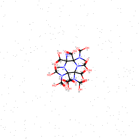 CN(C(=O)O)C1(C(=O)O)N(C(=O)O)C(C(=O)O)(N(C(=O)O)C(=O)O)C(C(=O)O)(N(C(=O)O)C(=O)O)N(C)C1(N)C(=O)O